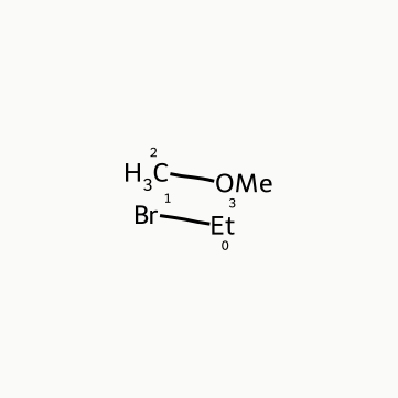 CCBr.COC